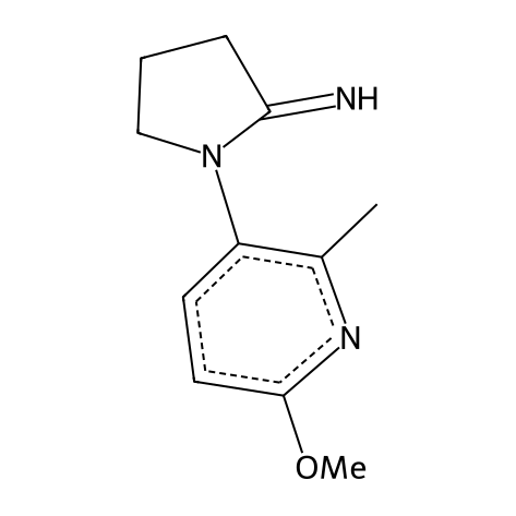 COc1ccc(N2CCCC2=N)c(C)n1